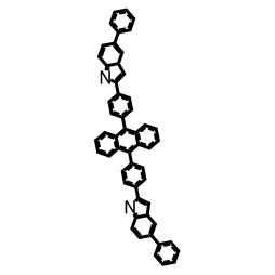 C1=CC2=NC(c3ccc(-c4c5ccccc5c(-c5ccc(C6=CC7C=C(c8ccccc8)C=CC7=N6)cc5)c5ccccc45)cc3)=CC2C=C1c1ccccc1